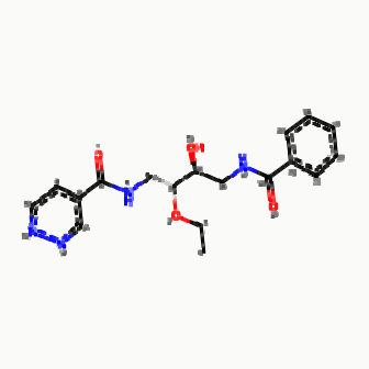 CCO[C@H](CNC(=O)c1ccnnc1)[C@@H](O)CNC(=O)c1ccccc1